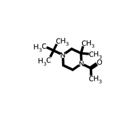 CC(=O)N1CCN(C(C)(C)C)CC1(C)C